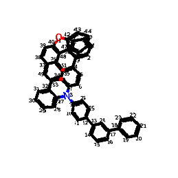 c1ccc(-c2ccc(N(c3ccc(-c4cccc(-c5ccccc5)c4)cc3)c3ccccc3-c3ccc4c(ccc5oc6ccccc6c54)c3)cc2)cc1